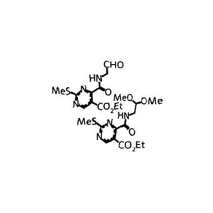 CCOC(=O)c1cnc(SC)nc1C(=O)NCC(OC)OC.CCOC(=O)c1cnc(SC)nc1C(=O)NCC=O